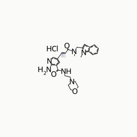 CN(Cc1cc2ccccc2n1C)C(=O)/C=C/c1cnc(N)c(C(=O)NCCN2CCOCC2)c1.Cl